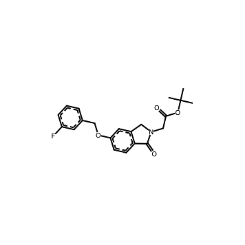 CC(C)(C)OC(=O)CN1Cc2cc(OCc3cccc(F)c3)ccc2C1=O